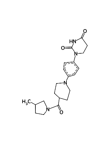 CC1CCN(C(=O)C2CCN(c3ccc(N4CCC(=O)NC4=O)cc3)CC2)C1